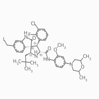 COc1cc(N2CC(C)OC(C)C2)ccc1NC(=O)[C@@H]1N[C@@H](CC(C)(C)C)[C@@]2(C(=O)Nc3cc(CI)ccc32)[C@H]1c1cccc(Cl)c1F